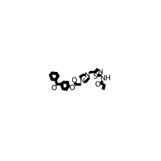 C=CC(=O)Nc1ncc(CN2CCN(CC(=O)Oc3ccc(C(=O)c4ccccc4)cc3)CC2)s1